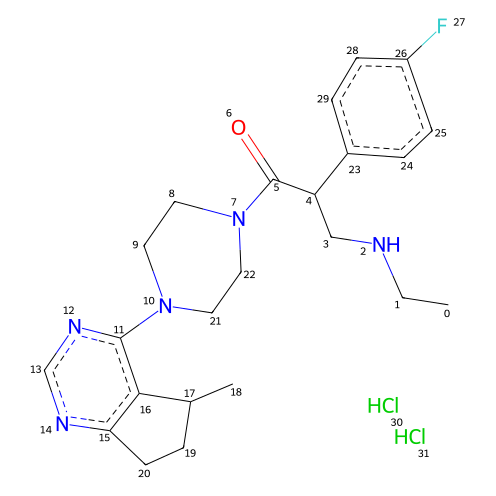 CCNCC(C(=O)N1CCN(c2ncnc3c2C(C)CC3)CC1)c1ccc(F)cc1.Cl.Cl